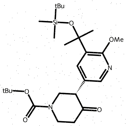 COc1ncc([C@H]2CN(C(=O)OC(C)(C)C)CCC2=O)cc1C(C)(C)O[Si](C)(C)C(C)(C)C